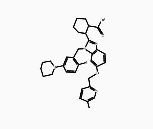 Cc1ccc(COc2ccc3nc(C4CCCCC4C(=O)O)n(Cc4cc(N5CCCCC5)ccc4F)c3c2)nc1